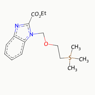 CCOC(=O)c1nc2ccccc2n1COCCS(C)(C)C